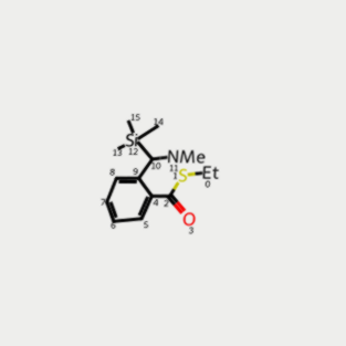 CCSC(=O)c1ccccc1C(NC)[Si](C)(C)C